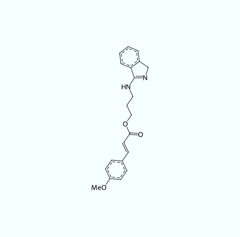 COc1ccc(/C=C/C(=O)OCCCNC2=NCc3ccccc32)cc1